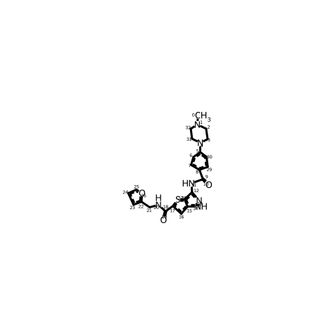 CN1CCN(c2ccc(C(=O)Nc3n[nH]c4cc(C(=O)NCc5ccco5)sc34)cc2)CC1